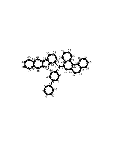 c1ccc(-c2ccc(N(c3cc4ccc5ccccc5c4c4ccccc34)c3cccc4c3oc3cc5ccccc5cc34)cc2)cc1